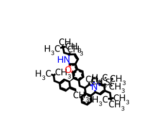 C/C=C1\C=CC(CC(C)C)=C[C@H]1c1c(CC2c3ccccc3C3C=C(CC(C)(C)C)C([Si](C)(C)C)=C[N+]3(C)C2C)ccc2c3c(oc12)NC(C)(CC(C)(C)C)C=C3